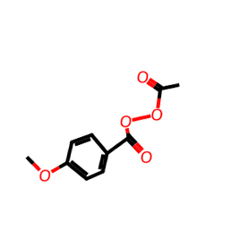 COc1ccc(C(=O)OOC(C)=O)cc1